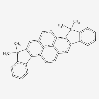 C[Si]1(C)c2ccccc2-c2c1cc1ccc3c4c(cc5ccc2c1c53)-c1ccccc1[Si]4(C)C